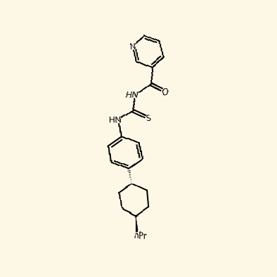 CCC[C@H]1CC[C@H](c2ccc(NC(=S)NC(=O)c3cccnc3)cc2)CC1